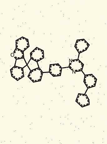 c1ccc(-c2cccc(-c3cc(-c4ccccc4)nc(-c4ccc(-c5cccc6c5-c5ccccc5C65c6ccccc6-c6oc7ccccc7c65)cc4)n3)c2)cc1